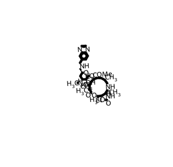 CC[C@@H]1OC(=O)C(C)C(=O)[C@H](C)[C@@H](O[C@@H]2O[C@H](CNCc3ccc4nccnc4c3)CC(N(C)C)C2O)[C@](C)(OC)C[C@@H](C)CN[C@H](C)[C@H]2NC(=O)O[C@]12C